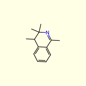 CC1=NC(C)(C)C(C)c2ccccc21